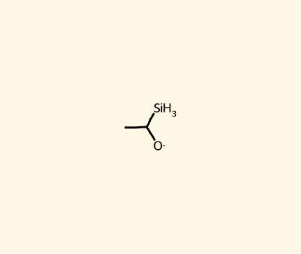 CC([O])[SiH3]